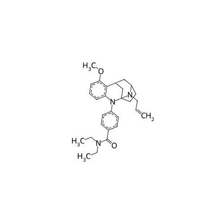 C=CCN1C2CCC13CC(C2)c1c(OC)cccc1N3c1ccc(C(=O)N(CC)CC)cc1